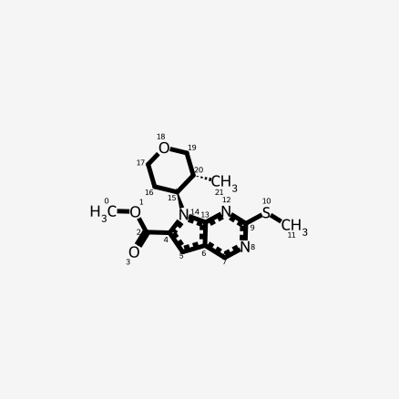 COC(=O)c1cc2cnc(SC)nc2n1[C@H]1CCOC[C@@H]1C